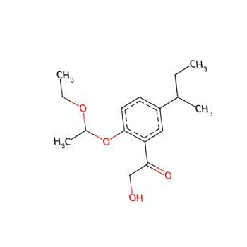 CCOC(C)Oc1ccc(C(C)CC)cc1C(=O)CO